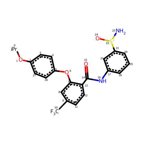 CC(C)Oc1ccc(Oc2cc(C(F)(F)F)ccc2C(=O)Nc2cccc([S+](N)[O-])c2)cc1